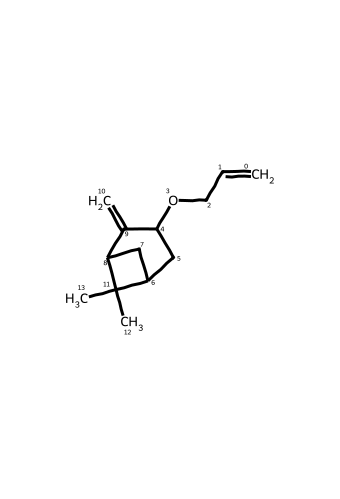 C=CCOC1CC2CC(C1=C)C2(C)C